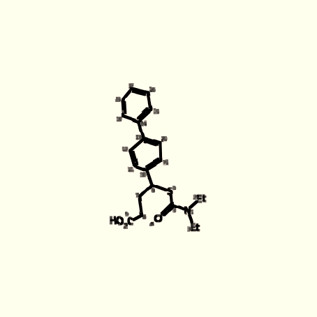 CCN(CC)C(=O)SC(CCC(=O)O)c1ccc(-c2ccccc2)cc1